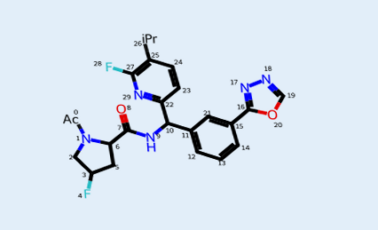 CC(=O)N1CC(F)CC1C(=O)NC(c1cccc(-c2nnco2)c1)c1ccc(C(C)C)c(F)n1